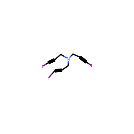 IC#CCN(CC#CI)CC#CI